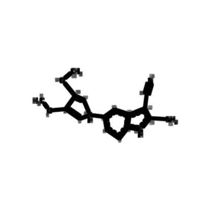 COC1=C[SH](c2ccc3[nH]c(N)c(C#N)c3c2)C=C1OC